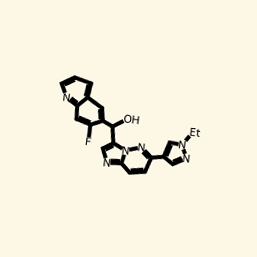 CCn1cc(-c2ccc3ncc(C(O)c4cc5cccnc5cc4F)n3n2)cn1